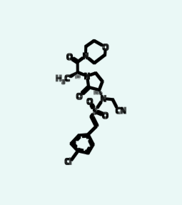 C[C@@H](C(=O)N1CCOCC1)N1CC[C@H](N(CC#N)S(=O)(=O)C=Cc2ccc(Cl)cc2)C1=O